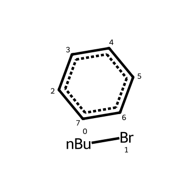 CCCCBr.c1ccccc1